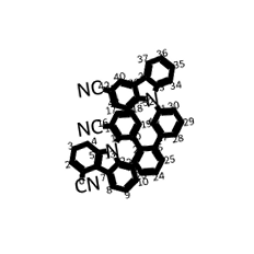 N#CC1=CCCc2c1c1ccccc1n2-c1c(C#N)cccc1-c1ccccc1-c1cccc(-n2c3ccccc3c3cc(C#N)ccc32)c1